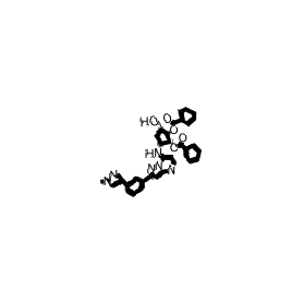 Cn1cc(-c2cccc(-c3cc4nccc(N[C@@H]5C[C@H](CO)[C@@H](OC(=O)c6ccccc6)[C@H]5OC(=O)c5ccccc5)n4n3)c2)cn1